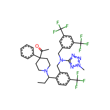 CCC(c1ccc(C(F)(F)F)cc1CN(Cc1cc(C(F)(F)F)cc(C(F)(F)F)c1)c1nnn(C)n1)N1CCC(C(C)=O)(c2ccccc2)CC1